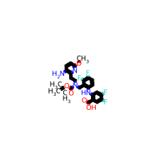 COc1ccc(N)c(CCN(Cc2c(Nc3cc(F)c(F)cc3C(=O)O)ccc(F)c2F)C(=O)OC(C)(C)C)n1